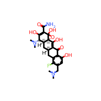 CN(C)Cc1cc(O)c2c(c1F)C[C@H]1C[C@H]3[C@H](N(C)C)C(O)=C(C(N)=O)C4(O)O[C@]34C(O)=C1C2=O